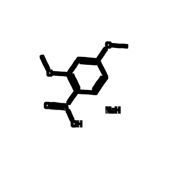 COc1ccc(S(=O)O)c(OC)c1.[NaH]